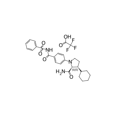 NC(=O)[C@@H]1[C@H](C2CCCCC2)CCN1c1ccc(C(=O)NS(=O)(=O)c2ccccc2)cc1.O=C(O)C(F)(F)F